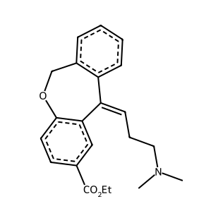 CCOC(=O)c1ccc2c(c1)C(=CCCN(C)C)c1ccccc1CO2